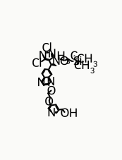 C[Si](C)(C)CCOCn1cc(-c2ccc3ncc(OCCOc4cncc(CO)c4)nc3c2)c2c(Cl)nc(Cl)nc21